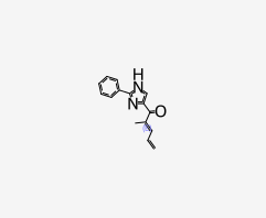 C=C/C=C(\C)C(=O)c1c[nH]c(-c2ccccc2)n1